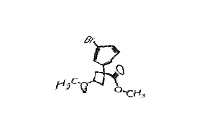 COC(=O)[C@]1(c2cccc(Br)c2)C[C@H](OC)C1